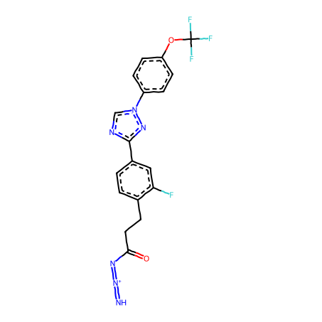 N=[N+]=NC(=O)CCc1ccc(-c2ncn(-c3ccc(OC(F)(F)F)cc3)n2)cc1F